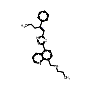 CCCNCc1ccc(-c2nnc(/C=C(\CCC)c3ccccc3)o2)c2cccnc12